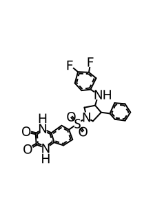 O=c1[nH]c2ccc(S(=O)(=O)N3CC(Nc4ccc(F)c(F)c4)C(c4ccccc4)C3)cc2[nH]c1=O